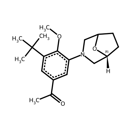 COc1c(N2CC3CC[C@H](C2)O3)cc(C(C)=O)cc1C(C)(C)C